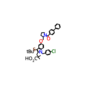 CC(C)(C)Sc1c(CC(C)(C)C(=O)O)n(Cc2ccc(Cl)cc2)c2ccc(OCC3CCCN3C(=O)c3ccc(-c4ccccc4)cc3)cc12